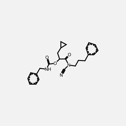 N#CN(CCCc1ccccc1)C(=O)C(CC1CC1)OC(=O)NCc1ccccc1